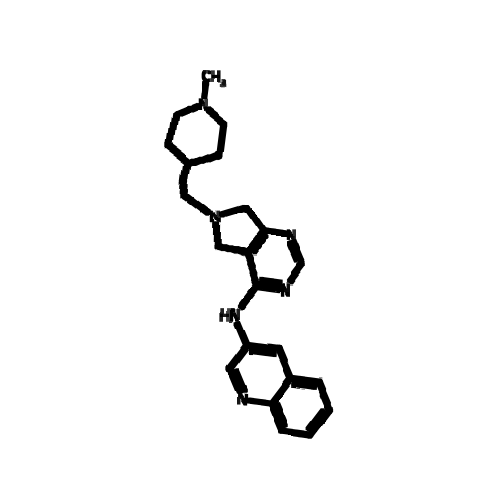 CN1CCC(CN2Cc3ncnc(Nc4cnc5ccccc5c4)c3C2)CC1